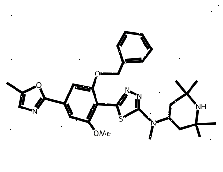 COc1cc(-c2ncc(C)o2)cc(OCc2ccccc2)c1-c1nnc(N(C)C2CC(C)(C)NC(C)(C)C2)s1